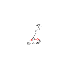 CCO[Si](CCCCC(F)(F)F)(OC)OCC